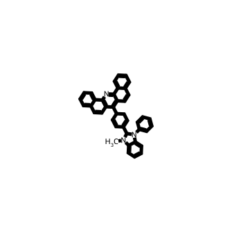 CN1c2ccccc2N(c2ccccc2)C1C1=CCC(c2c3ccc4ccccc4c3nc3c2ccc2ccccc23)C=C1